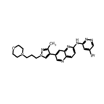 Cc1nn(CCCN2CCOCC2)cc1-c1cnc2ccc(Nc3cc(C(C)C)cnn3)nc2c1